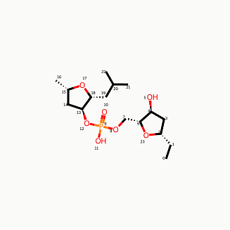 CC[C@H]1C[C@H](O)[C@@H](COP(=O)(O)O[C@H]2C[C@H](C)O[C@@H]2CC(C)C)O1